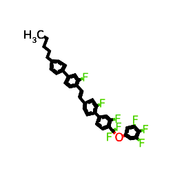 CCCCCc1ccc(-c2ccc(/C=C/c3ccc(-c4ccc(C(F)(F)Oc5cc(F)c(F)c(F)c5)c(F)c4)c(F)c3)c(F)c2)cc1